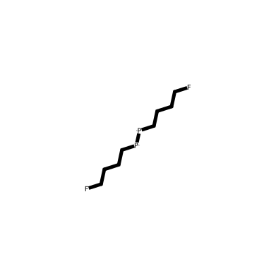 FCCCC[P][P]CCCCF